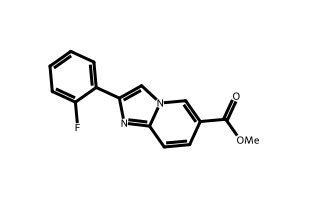 COC(=O)c1ccc2nc(-c3ccccc3F)cn2c1